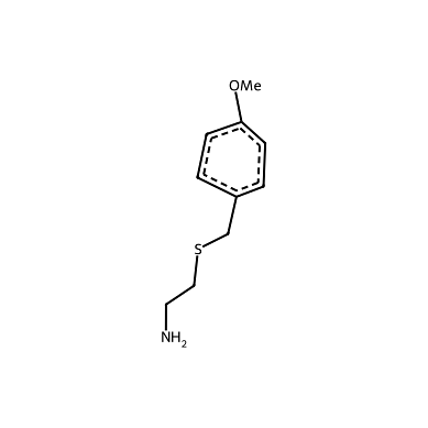 COc1ccc(CSCCN)cc1